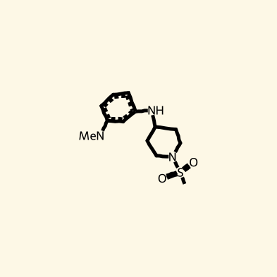 CNc1cccc(NC2CCN(S(C)(=O)=O)CC2)c1